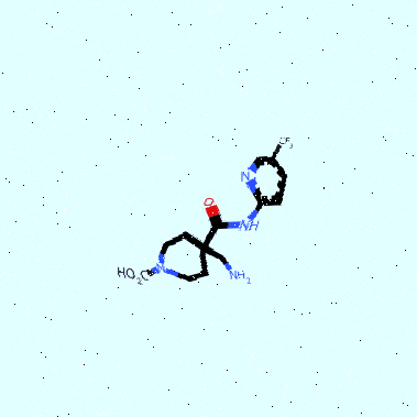 NCC1(C(=O)Nc2ccc(C(F)(F)F)cn2)CCN(C(=O)O)CC1